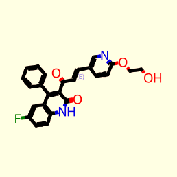 O=C(/C=C/c1ccc(OCCO)nc1)c1c(-c2ccccc2)c2cc(F)ccc2[nH]c1=O